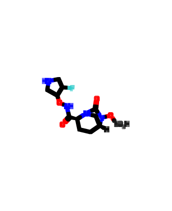 O=C(NOC1CNCC1F)[C@@H]1CC[C@@H]2CN1C(=O)N2OS(=O)(=O)O